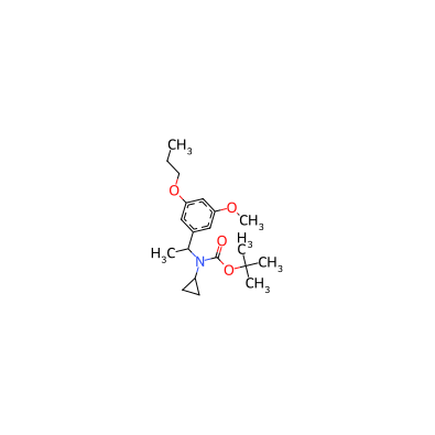 CCCOc1cc(OC)cc(C(C)N(C(=O)OC(C)(C)C)C2CC2)c1